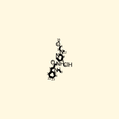 CCn1c(C(=O)Nc2ccc(N(C)CCOC)nc2)cc2ccccc21.Cl